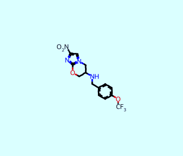 O=[N+]([O-])c1cn2c(n1)OCC(NCc1ccc(OC(F)(F)F)cc1)C2